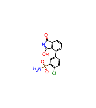 NS(=O)(=O)c1cc(-c2cccc3c2C(O)=NC3=O)ccc1Cl